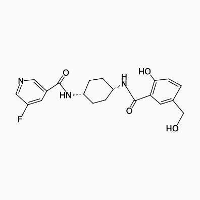 O=C(N[C@H]1CC[C@@H](NC(=O)c2cc(CO)ccc2O)CC1)c1cncc(F)c1